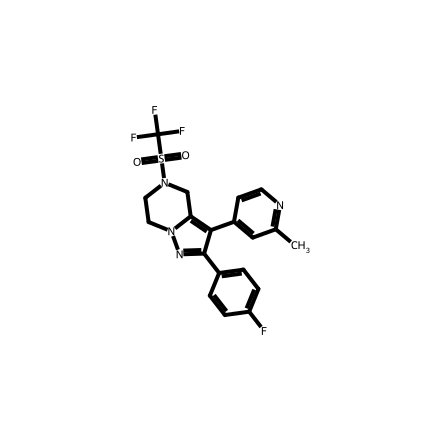 Cc1cc(-c2c(-c3ccc(F)cc3)nn3c2CN(S(=O)(=O)C(F)(F)F)CC3)ccn1